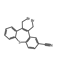 N#Cc1ccc2c(c1)C(CBr)=C(CBr)c1ccccc1S2